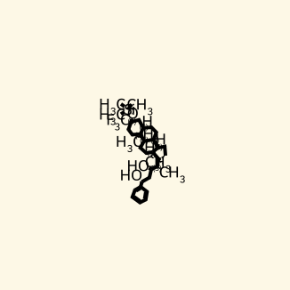 C[C@H](C(O)CC(O)c1ccccc1)[C@H]1CC[C@H]2[C@@H]3CC[C@H]4C[C@](O[Si](C)(C)C)(C(F)(F)F)CC[C@]4(C)[C@H]3CC[C@]12C